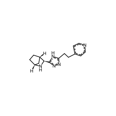 c1cc(CCc2nnc([C@H]3N[C@@H]4CC[C@H]3C4)[nH]2)ccn1